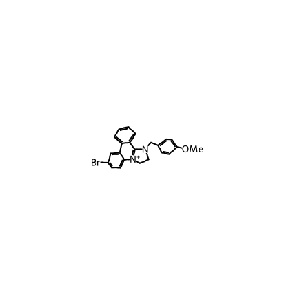 COc1ccc(CN2CC[n+]3c2c2ccccc2c2cc(Br)ccc23)cc1